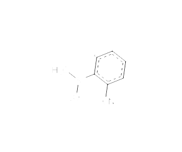 C[S+]([O-])c1ccccc1C#N